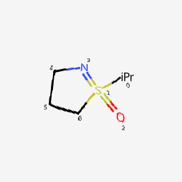 CC(C)S1(=O)=NCCC1